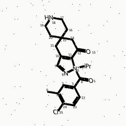 Cc1cc(C(=O)[N+]2(C(C)C)N=CC3=C2C(=O)CC2(CCNCC2)C3)ccc1Cl